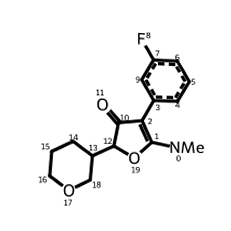 CNC1=C(c2cccc(F)c2)C(=O)C(C2CCCOC2)O1